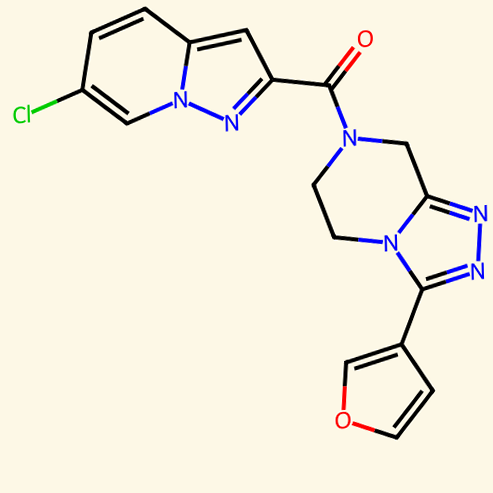 O=C(c1cc2ccc(Cl)cn2n1)N1CCn2c(nnc2-c2ccoc2)C1